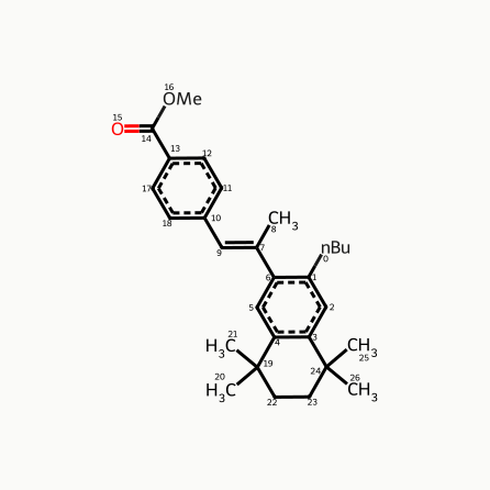 CCCCc1cc2c(cc1/C(C)=C/c1ccc(C(=O)OC)cc1)C(C)(C)CCC2(C)C